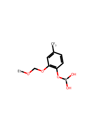 CCOCOc1cc(C(F)(F)F)ccc1OB(O)O